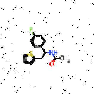 CC(=O)NC(Cc1cccs1)c1ccc(F)cc1